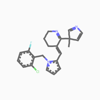 CC1(C2=NCCC/C2=C\c2cccn2Cc2c(F)cccc2Cl)C=CN=C1